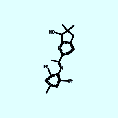 CC(=Nc1c(C(C)C)cc(C)cc1C(C)C)c1ccc2c(n1)C(O)C(C)(C)C2